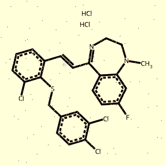 CN1CCN=C(/C=C/c2cccc(Cl)c2SCc2ccc(Cl)c(Cl)c2)c2ccc(F)cc21.Cl.Cl